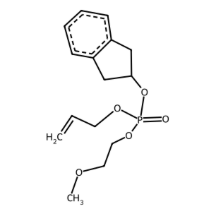 C=CCOP(=O)(OCCOC)OC1Cc2ccccc2C1